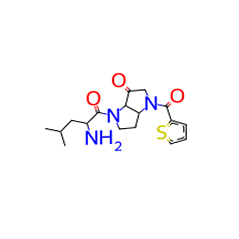 CC(C)CC(N)C(=O)N1CCC2C1C(=O)CN2C(=O)c1cccs1